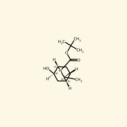 C[C@@H]1[C@@H]2CC[C@@H]([C@H](O)C2)N1C(=O)OC(C)(C)C